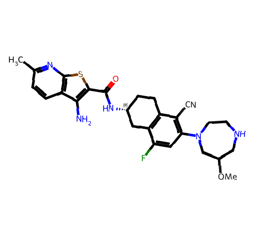 COC1CNCCN(c2cc(F)c3c(c2C#N)CC[C@@H](NC(=O)c2sc4nc(C)ccc4c2N)C3)C1